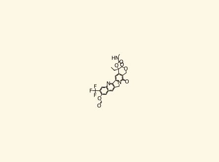 CC[C@@]1(OC(=O)NC)C(=O)OCc2c1cc1n(c2=O)Cc2cc3cc(OC=O)c(C(F)(F)F)cc3nc2-1